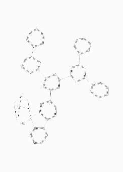 c1ccc(-c2cccc(-c3cc(-c4ccc5c(c4)C4(c6ccccc6-5)C5CC6CC(C5)CC4C6)cc(-c4nc(-c5ccccc5)nc(-c5ccccc5)n4)c3)c2)cc1